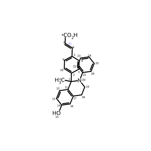 CC1(c2ccc(/C=C/C(=O)O)cc2)c2ccc(O)cc2CCN1c1ccccc1